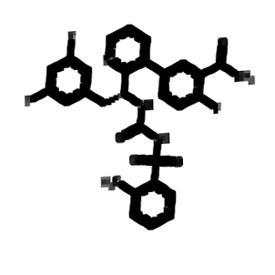 Cc1ccccc1S(=O)(=O)NC(=O)N[C@H](Cc1cc(F)cc(F)c1)c1ncccc1-c1ccc(F)c(C(N)=O)c1